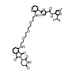 Cn1cc(NC(=O)c2coc(-c3cccnc3NCCOCCOCCOCCNc3cccc4c3C(=O)N(C3CCC(=O)NC3=O)C4=O)n2)c(C(F)F)n1